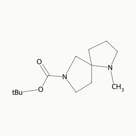 CN1CCCC12CCN(C(=O)OC(C)(C)C)C2